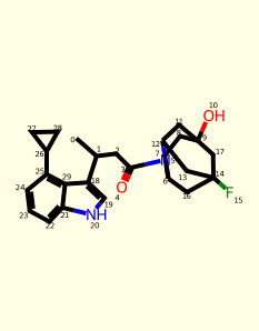 CC(CC(=O)N1C2CCC3(O)CC1CC(F)(C2)C3)c1c[nH]c2cccc(C3CC3)c12